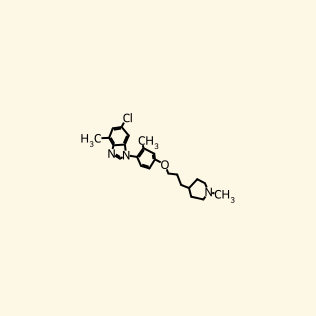 Cc1cc(OCCCC2CCN(C)CC2)ccc1-n1cnc2c(C)cc(Cl)cc21